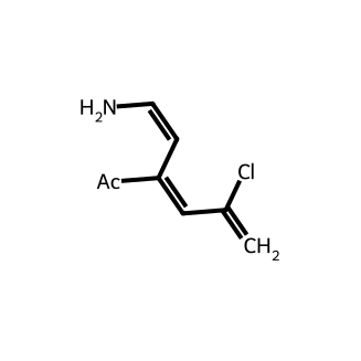 C=C(Cl)/C=C(\C=C/N)C(C)=O